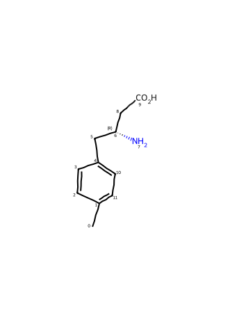 Cc1ccc(C[C@@H](N)CC(=O)O)cc1